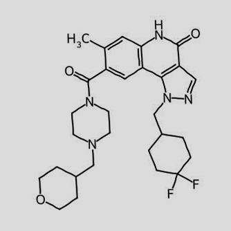 Cc1cc2[nH]c(=O)c3cnn(CC4CCC(F)(F)CC4)c3c2cc1C(=O)N1CCN(CC2CCOCC2)CC1